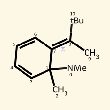 CNC1(C)C=CC=C/C1=C(/C)C(C)(C)C